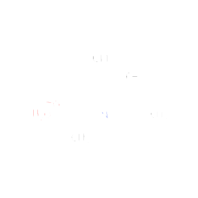 CCCO.CCN(CC)CC.O